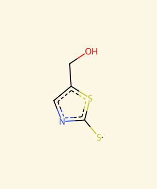 OCc1cnc([S])s1